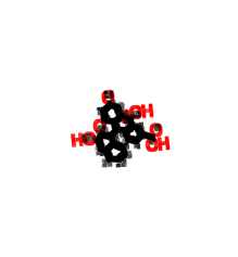 O=C(O)c1ccc(-c2c3ccc(=O)cc-3oc3c(O)cc4ccccc4c23)c(C(=O)O)c1